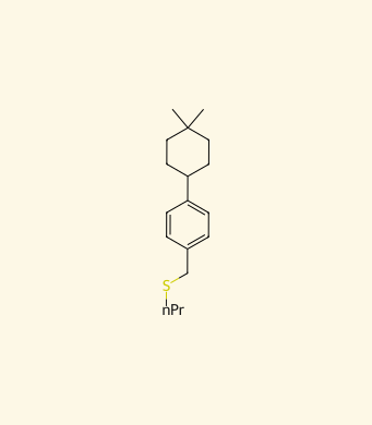 CCCSCc1ccc(C2CCC(C)(C)CC2)cc1